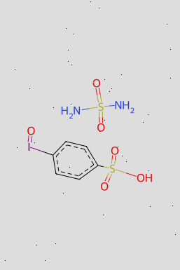 NS(N)(=O)=O.O=Ic1ccc(S(=O)(=O)O)cc1